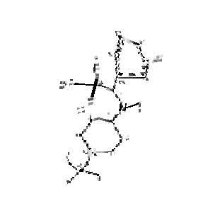 CN(C1CCN(C(C)(C)C)CC1)C(c1ccccc1)C(F)(F)F